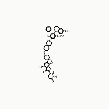 COc1cc(N2CCC3(CC[C@H](CN4CCC5(CC4)COc4c5cc(Cl)c5c4CN([C@H]4CCC(=O)NC4=O)C5=O)CO3)CC2)c(F)cc1[C@@H]1c2ccc(O)cc2CC[C@@H]1c1ccccc1